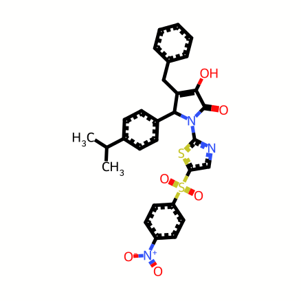 CC(C)c1ccc(C2C(Cc3ccccc3)=C(O)C(=O)N2c2ncc(S(=O)(=O)c3ccc([N+](=O)[O-])cc3)s2)cc1